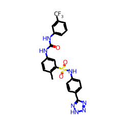 Cc1ccc(NC(=O)Nc2cccc(C(F)(F)F)c2)cc1S(=O)(=O)Nc1ccc(-c2nn[nH]n2)cc1